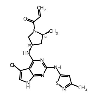 C=CC(=O)N1C[C@H](Nc2nc(Nc3cc(C)ns3)nc3[nH]cc(Cl)c23)C[C@@H]1C